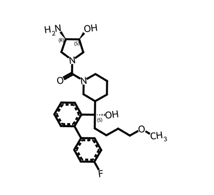 COCCCC[C@@](O)(c1ccccc1-c1ccc(F)cc1)C1CCCN(C(=O)N2C[C@@H](N)[C@@H](O)C2)C1